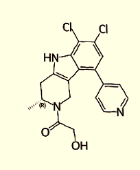 C[C@@H]1Cc2[nH]c3c(Cl)c(Cl)cc(-c4ccncc4)c3c2CN1C(=O)CO